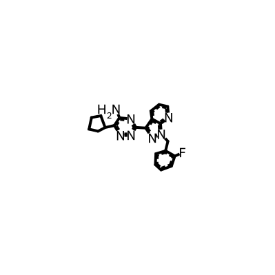 Nc1nc(-c2nn(Cc3ccccc3F)c3ncccc23)nnc1C1CCCC1